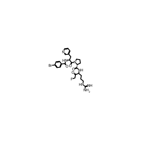 N=C(N)NCCCC(NC(=O)[C@@H]1CCCN1C(=O)C(Cc1cccnc1)NC(=O)c1ccc(Br)cc1)C(=O)CF